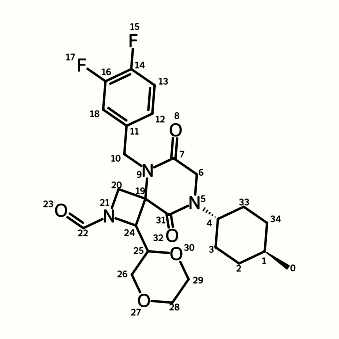 C[C@H]1CC[C@H](N2CC(=O)N(Cc3ccc(F)c(F)c3)C3(CN(C=O)C3C3COCCO3)C2=O)CC1